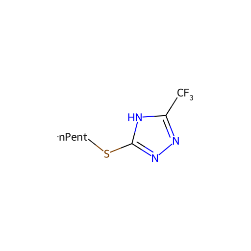 CCCC[CH]Sc1nnc(C(F)(F)F)[nH]1